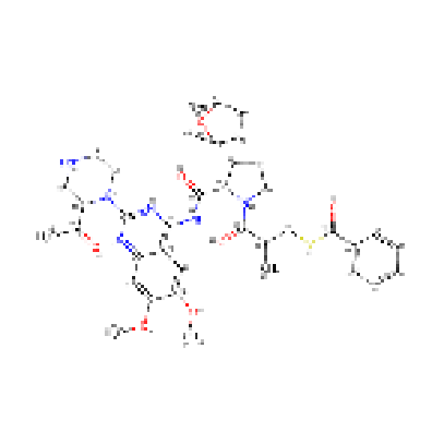 COc1cc2nc(N3CCNCC3C(C)=O)nc(NC(=O)C3CCCN3C(=O)C(C)CSC(=O)c3ccccc3)c2cc1OC.c1cc2ccc1o2